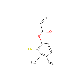 C=CC(=O)Oc1ccc(C)c(C)c1S